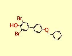 Oc1c(Br)cc(-c2ccc(OCc3ccccc3)cc2)cc1Br